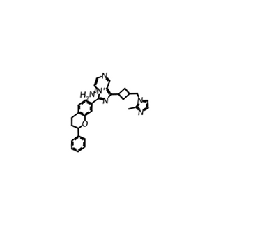 Cc1nccn1CC1CC(C2=C3C=NC=C[N@+]3(N)C(c3ccc4c(c3)OC(c3ccccc3)CC4)=N2)C1